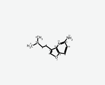 CN(C)CCc1coc2ccc(N)nc12